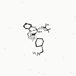 CC(=O)C(NC(=O)[C@H]1CC[C@H](CN)CC1)(Oc1ccccc1OCC(=O)O)C(=O)O.O=C(O)C(F)(F)F